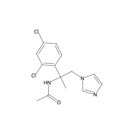 CC(=O)NC(C)(Cn1ccnc1)c1ccc(Cl)cc1Cl